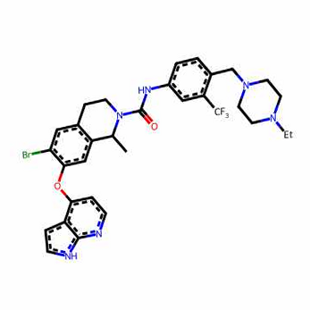 CCN1CCN(Cc2ccc(NC(=O)N3CCc4cc(Br)c(Oc5ccnc6[nH]ccc56)cc4C3C)cc2C(F)(F)F)CC1